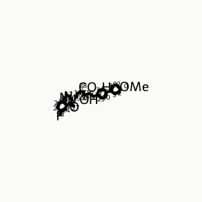 COc1ccc(-c2ccc(CC[C@@H](O)[C@H](CCn3nnc4ccc(F)cc4c3=O)C(=O)O)cc2)cc1